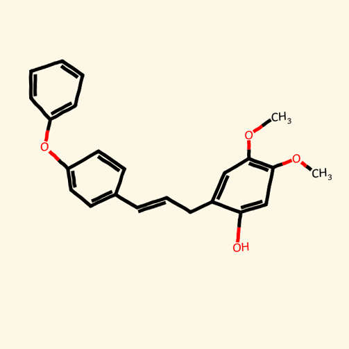 COc1cc(O)c(C/C=C/c2ccc(Oc3ccccc3)cc2)cc1OC